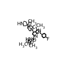 COC1(C2CCN(c3cc(C(=O)NS(=O)(=O)N(C)C)nc4c3c(C(C)C)nn4-c3ccc(F)cc3)CC2)CCNCC1